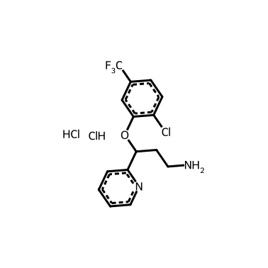 Cl.Cl.NCCC(Oc1cc(C(F)(F)F)ccc1Cl)c1ccccn1